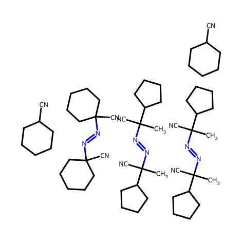 CC(C#N)(N=NC(C)(C#N)C1CCCC1)C1CCCC1.CC(C#N)(N=NC(C)(C#N)C1CCCC1)C1CCCC1.N#CC1(N=NC2(C#N)CCCCC2)CCCCC1.N#CC1CCCCC1.N#CC1CCCCC1